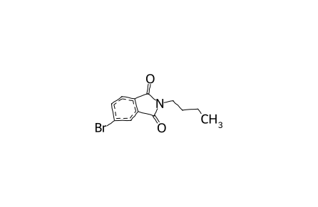 CCCCN1C(=O)c2ccc(Br)cc2C1=O